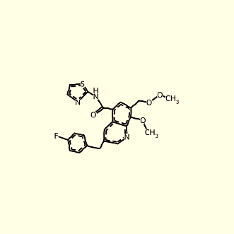 COOCc1cc(C(=O)Nc2nccs2)c2cc(Cc3ccc(F)cc3)cnc2c1OC